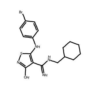 N=C(NCC1CCCCC1)c1c(O)nsc1Nc1ccc(Br)cc1